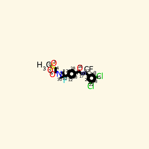 CS(=O)(=O)CC(=O)N1CC(F)(c2ccc(C(=O)/C=C(/c3cc(Cl)cc(Cl)c3)C(F)(F)F)cc2)C1